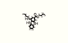 CCCCNc1cc(C(=O)OCCCC)cc(S)c1Nc1ccccc1